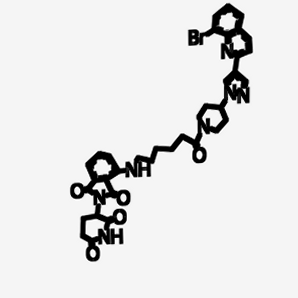 O=C1CCC(N2C(=O)c3cccc(NCCCCCC(=O)N4CCC(n5cc(-c6ccc7cccc(Br)c7n6)cn5)CC4)c3C2=O)C(=O)N1